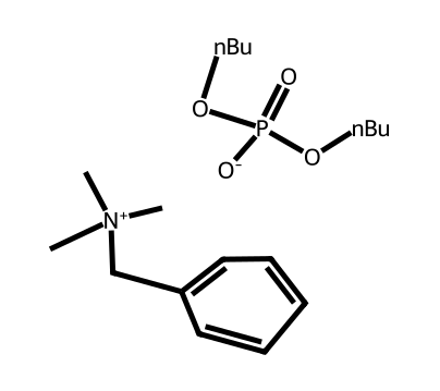 CCCCOP(=O)([O-])OCCCC.C[N+](C)(C)Cc1ccccc1